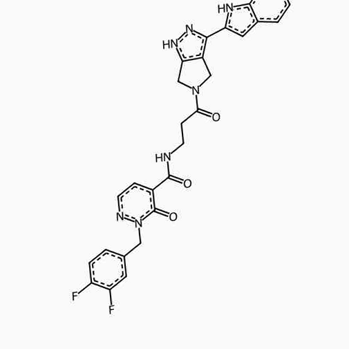 O=C(NCCC(=O)N1Cc2[nH]nc(-c3cc4ccccc4[nH]3)c2C1)c1ccnn(Cc2ccc(F)c(F)c2)c1=O